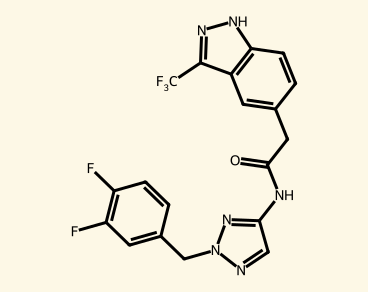 O=C(Cc1ccc2[nH]nc(C(F)(F)F)c2c1)Nc1cnn(Cc2ccc(F)c(F)c2)n1